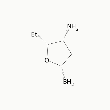 B[C@H]1C[C@@H](N)[C@@H](CC)O1